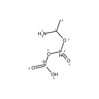 CC(N)O[PH](=O)O[PH](=O)O